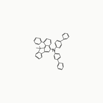 CC1(C)c2ccccc2-c2cc(N(c3ccc(-c4ccccc4)cc3)c3ccc(-c4ccccc4)cc3)c3cccc(-c4ccccc4)c3c21